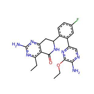 CCOc1nc(-c2cc(F)ccc2C2Cc3nc(N)nc(CC)c3C(=O)N2)cnc1N